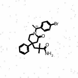 C[C@@H](c1ccc(Br)cc1)N1CCC(CC(C)(C)C(N)=O)(c2ccccc2)CC1=O